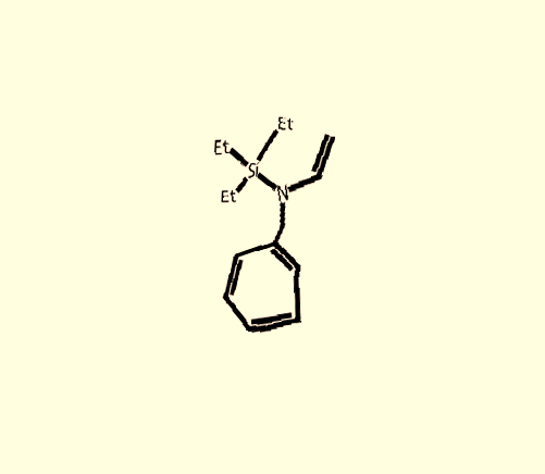 C=CN(c1ccccc1)[Si](CC)(CC)CC